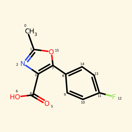 Cc1nc(C(=O)O)c(-c2ccc(F)cc2)o1